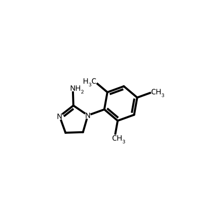 Cc1cc(C)c(N2CCN=C2N)c(C)c1